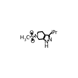 CC(C)c1n[nH]c2c1CCN(S(C)(=O)=O)C2